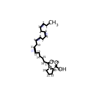 CC/C=C\C/C=C\C/C=C\C/C=C\CCCCC(=O)N1CCC[C@H]1C(=O)O